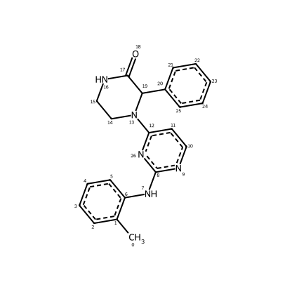 Cc1ccccc1Nc1nccc(N2CCNC(=O)C2c2ccccc2)n1